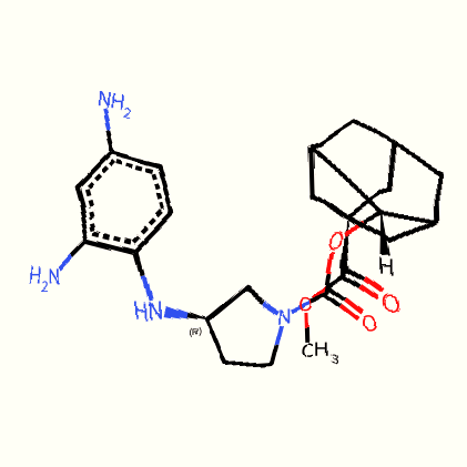 COC(=O)[C@]12CC3CC(C1)[C@@H](OC(=O)N1CC[C@@H](Nc4ccc(N)cc4N)C1)C(C3)C2